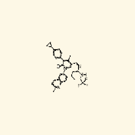 CC/C=C(/N=C\c1cn(-c2ccc3nc(C)ccc3c2)c(=O)c(-c2ccc(C3CC3)cc2)c1C)NCC(F)(F)F